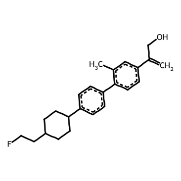 C=C(CO)c1ccc(-c2ccc(C3CCC(CCF)CC3)cc2)c(C)c1